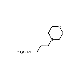 CN(O)CCCN1CCOCC1